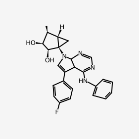 C[C@@H]1[C@H](O)[C@H](O)[C@@]2(N3C=C(c4ccc(F)cc4)C4C(Nc5ccccc5)=NC=NC43)C[C@@H]12